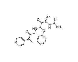 CC(=O)N(NC(N)=O)C(=O)C(NCC(=O)N(C)c1ccccc1)Oc1ccccc1